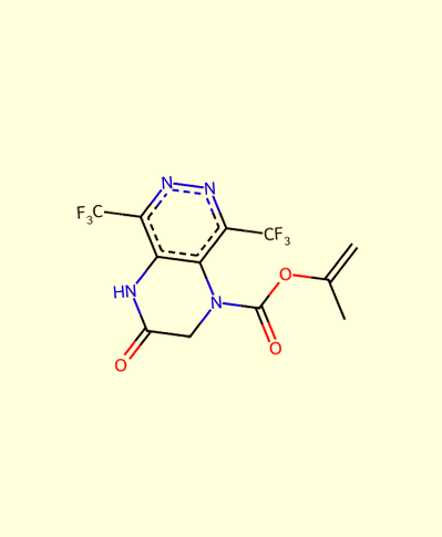 C=C(C)OC(=O)N1CC(=O)Nc2c(C(F)(F)F)nnc(C(F)(F)F)c21